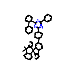 CC1(C)c2ccccc2C2(c3ccccc3-c3ccc(-c4ccc(-c5nc(-c6ccccc6)nc(-c6ccccc6-c6ccccc6)n5)cc4)cc32)c2ccccc21